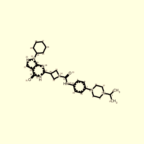 CC(C)N1CCN(c2ccc(NC(=O)N3CC(c4nc5c(cnn5C5CCCCC5)c(=O)[nH]4)C3)cc2)CC1